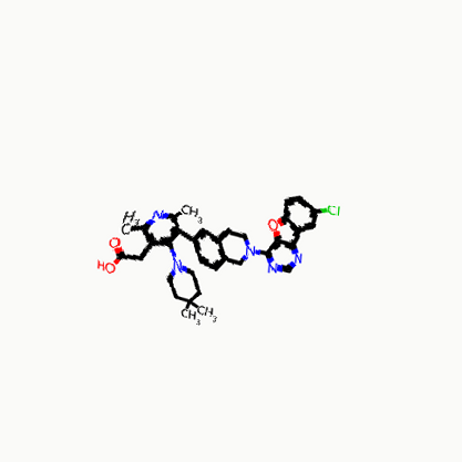 Cc1nc(C)c(-c2ccc3c(c2)CCN(c2ncnc4c2oc2ccc(Cl)cc24)C3)c(N2CCC(C)(C)CC2)c1CC(=O)O